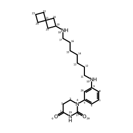 O=C1CCN(c2cccc(NCCCCCCCNC3CC4(CCC4)C3)c2)C(=O)N1